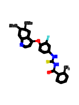 COc1cc2nccc(Oc3ccc(NC(=S)NC(=O)c4ccccc4C(F)(F)F)cc3F)c2cc1OC